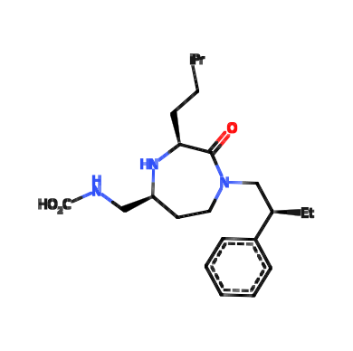 CC[C@H](CN1CC[C@@H](CNC(=O)O)N[C@@H](CCC(C)C)C1=O)c1ccccc1